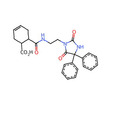 O=C(O)C1CC=CCC1C(=O)NCCN1C(=O)NC(c2ccccc2)(c2ccccc2)C1=O